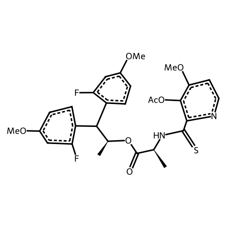 COc1ccc(C(c2ccc(OC)cc2F)[C@H](C)OC(=O)[C@H](C)NC(=S)c2nccc(OC)c2OC(C)=O)c(F)c1